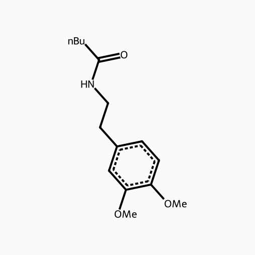 CCCCC(=O)NCCc1ccc(OC)c(OC)c1